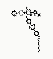 CCCCCCCOc1ccc(-c2cnc(-c3ccc(C[C@H](NC(=O)c4ccc(C(C)(C)C)s4)C(O)N4CCN(c5ncccn5)CC4)cc3)nc2)cc1